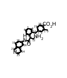 Cc1cc(Cc2ccccc2C(CN)C(=O)Nc2ccc3cnccc3c2)ccc1C(=O)O